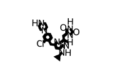 O=C1NC(=O)/C(=C/c2cnn3c(NC4CC4)cc(Cc4ccc(N5CCNCC5)cc4Cl)nc23)N1